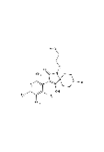 COCCON1C(=O)C(c2c(C)cc(C)c(C)c2C)=C(O)C12CCN(O)CC2